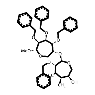 CO[C@H]1OC[C@@H](O[C@H]2OC[C@@H](O)[C@@H](C)[C@H](C)[C@@H]2OCc2ccccc2)[C@@H](OCc2ccccc2)[C@H](OCc2ccccc2)[C@@H]1OCc1ccccc1